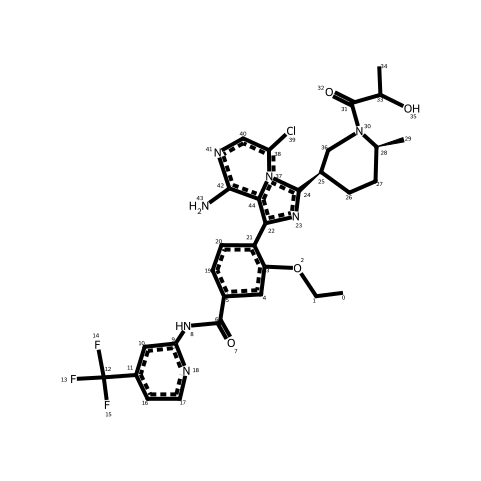 CCOc1cc(C(=O)Nc2cc(C(F)(F)F)ccn2)ccc1-c1nc([C@@H]2CC[C@H](C)N(C(=O)C(C)O)C2)n2c(Cl)cnc(N)c12